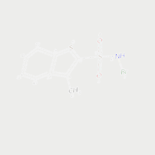 Cc1c(S(=O)(=O)NBr)sc2ccccc12